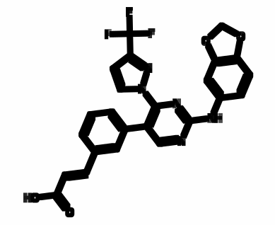 O=C(O)C=Cc1cccc(-c2cnc(Nc3ccc4c(c3)OCO4)nc2-n2ccc(C(F)(F)F)n2)c1